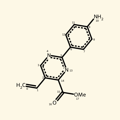 C=Cc1cnc(-c2ccc(N)cc2)nc1C(=O)OC